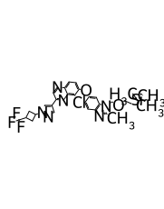 Cc1nc2ccc(Oc3ccc4ncc(-c5cnn(C6CC(C(F)(F)F)C6)c5)nc4c3Cl)cc2n1COCC[Si](C)(C)C